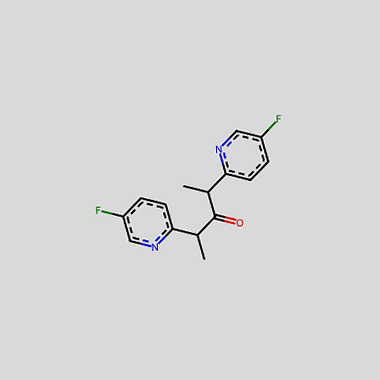 CC(C(=O)C(C)c1ccc(F)cn1)c1ccc(F)cn1